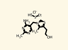 CCSS.Cc1ncc(C[n+]2csc(CCO)c2C)c(N)n1.[Cl-]